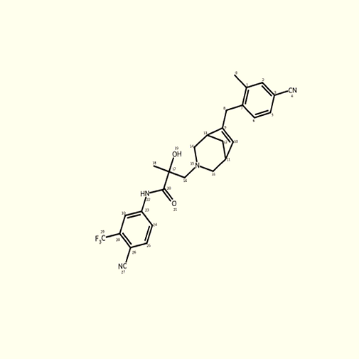 Cc1cc(C#N)ccc1CC1=CC2CC1CN(CC(C)(O)C(=O)Nc1ccc(C#N)c(C(F)(F)F)c1)C2